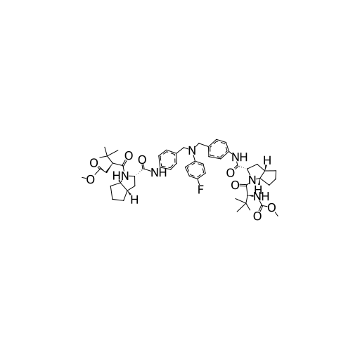 COC(=O)C[C@H](C(=O)N1[C@H](C(=O)Nc2ccc(CN(Cc3ccc(NC(=O)[C@@H]4C[C@@H]5CCC[C@@H]5N4C(=O)[C@@H](NC(=O)OC)C(C)(C)C)cc3)c3ccc(F)cc3)cc2)C[C@@H]2CCC[C@@H]21)C(C)(C)C